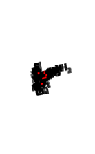 CCOc1cc(C(C)(C)C)ncc1C1=N[C@@](C)(c2ccc(Cl)cc2)[C@@](C)(c2ccc(Cl)cc2)N1C(=O)N1CCC2(CCN(CC(N)=O)CC2)CC1